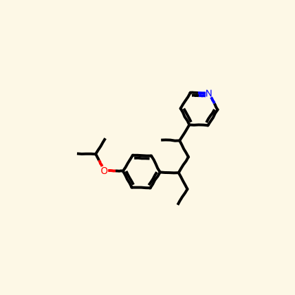 CCC(CC(C)c1ccncc1)c1ccc(OC(C)C)cc1